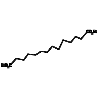 CCOC(=O)CCCCCCCCCCCCC(=O)OCC